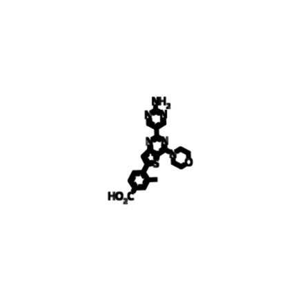 Cc1cc(C(=O)O)ccc1-c1cc2nc(-c3cnc(N)nc3)nc(N3CCOCC3)c2s1